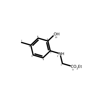 CCOC(=O)CNc1ccc(C)cc1O